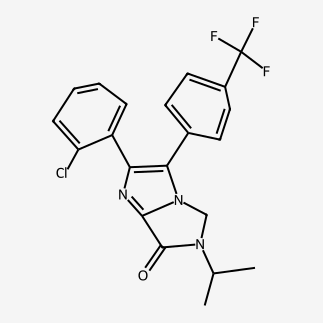 CC(C)N1Cn2c(nc(-c3ccccc3Cl)c2-c2ccc(C(F)(F)F)cc2)C1=O